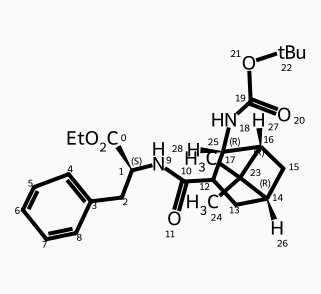 CCOC(=O)[C@H](Cc1ccccc1)NC(=O)C1C[C@H]2C[C@@H]([C@H]1NC(=O)OC(C)(C)C)C2(C)C